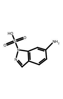 Nc1ccc2cnn(S(=O)(=O)O)c2c1